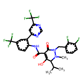 CC(C)C1C(O)=C(C(=O)Nc2ccc(C(F)(F)F)cc2-c2cc(C(F)(F)F)ncn2)C(=O)N(Cc2cccc(F)c2F)N1C